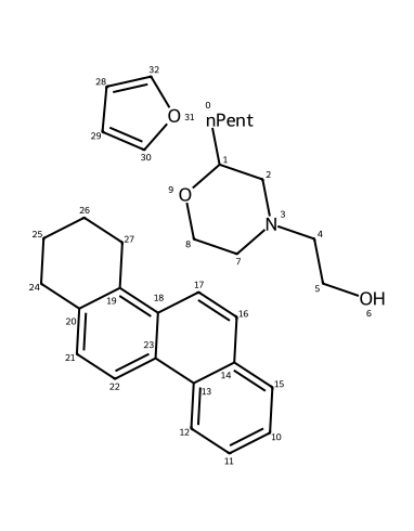 CCCCCC1CN(CCO)CCO1.c1ccc2c(c1)ccc1c3c(ccc12)CCCC3.c1ccoc1